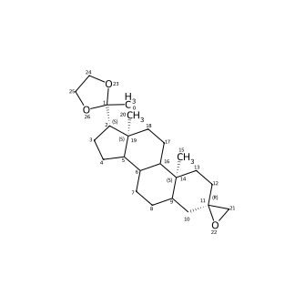 CC1([C@H]2CCC3C4CCC5C[C@]6(CC[C@]5(C)C4CC[C@@]32C)CO6)OCCO1